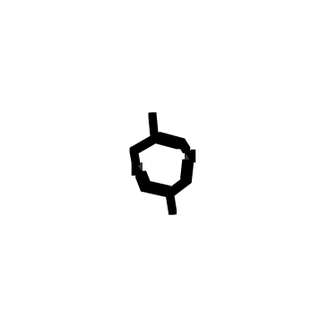 CC1=C=NC/C(C)=C\N=C/1